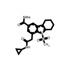 CNC(=O)c1cc(CC(=O)NC2CC2)c2c(c1)c1c(n2S(C)(=O)=O)CCCC1